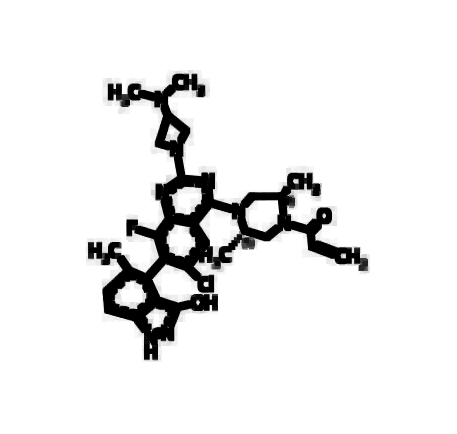 C=CC(=O)N1C[C@H](C)N(c2nc(N3CC(N(C)C)C3)nc3c(F)c(-c4c(C)ccc5[nH]nc(O)c45)c(Cl)cc23)C[C@H]1C